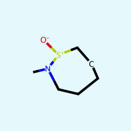 CN1CCCCC[S+]1[O-]